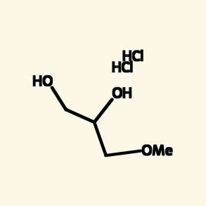 COCC(O)CO.Cl.Cl